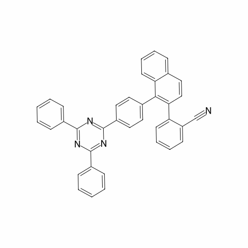 N#Cc1ccccc1-c1ccc2ccccc2c1-c1ccc(-c2nc(-c3ccccc3)nc(-c3ccccc3)n2)cc1